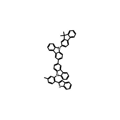 Cc1ccc(-c2cc3ccccc3s2)c(-n2c3ccccc3c3cc(-c4ccc5c(c4)c4ccccc4n5-c4ccc5c(c4)C(C)(C)c4ccccc4-5)ccc32)c1